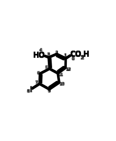 O=C(O)c1cc(O)c2cc(I)ccc2c1